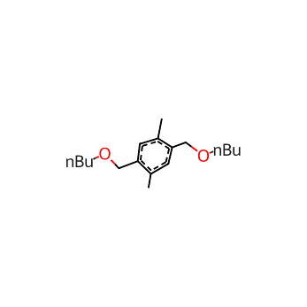 CCCCOCc1cc(C)c(COCCCC)cc1C